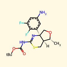 C[C@H]1OC[C@]2(c3cc(N)cc(F)c3F)N=C(NC(=O)OC(C)(C)C)SC[C@H]12